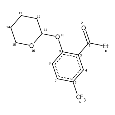 CCC(=O)c1cc(C(F)(F)F)ccc1OC1CCCCO1